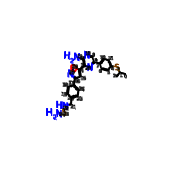 CC(C)Sc1ccc(-c2cnc(N)c(-c3cc(-c4ccc(CNSN)cc4)no3)n2)cc1